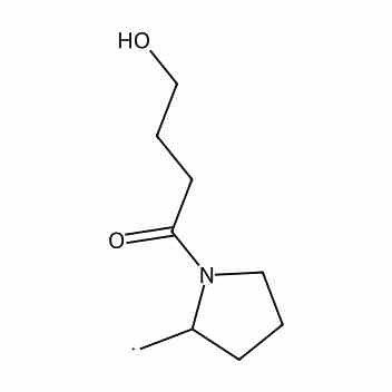 [CH2]C1CCCN1C(=O)CCCO